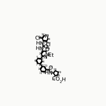 CCn1nc(-c2cccc(-c3cccc(C(=O)N[C@H]4CCC[C@H]4C(=O)O)c3)c2)cc(NC(=O)Nc2c(Cl)cncc2Cl)c1=O